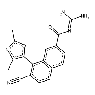 Cc1nc(C)c(-c2c(C#N)ccc3ccc(C(=O)N=C(N)N)cc23)s1